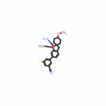 COC1CCC2(CC1)Cc1ccc(-c3cc(F)cc(C#N)c3)cc1C21N=C(C)C(N)=N1